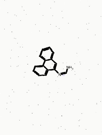 N/C=N\c1cc2ccccc2c2ccccc12